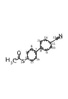 CC(=O)Sc1ccc(-c2ccc(C#N)cc2)cc1